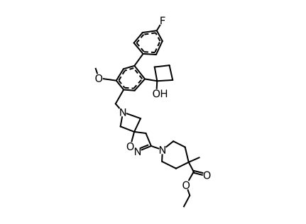 CCOC(=O)C1(C)CCN(C2=NOC3(C2)CN(Cc2cc(C4(O)CCC4)c(-c4ccc(F)cc4)cc2OC)C3)CC1